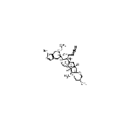 CC(=O)OC[C@H]1Cc2c(cnn2C(C)=O)C[C@]1(C)[C@H]1CC[C@]2(C)[C@@H]3[C@H](C[C@H]2[C@@H]1CN=[N+]=[N-])O[C@]1(CCC(C)CO1)[C@H]3C